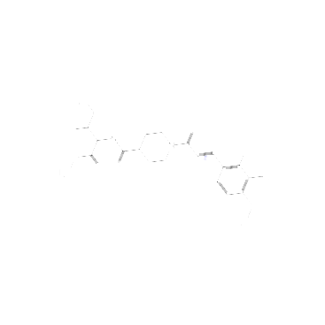 CCC(C)C(NC(=O)C1CCN(C(=O)/C=C/c2ccc(SC)c(Cl)c2Cl)CC1)C(=O)OC